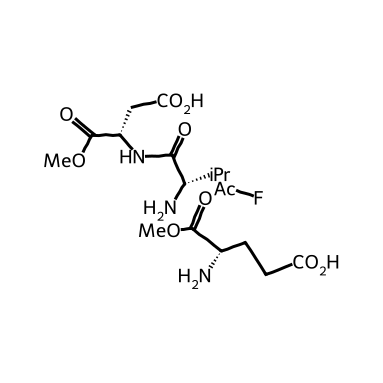 CC(=O)F.COC(=O)[C@@H](N)CCC(=O)O.COC(=O)[C@H](CC(=O)O)NC(=O)[C@@H](N)C(C)C